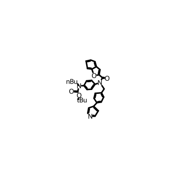 CCCCN(C(=O)OC(C)(C)C)c1ccc(N(Cc2ccc(-c3ccncc3)cc2)C(=O)c2cc3ccccc3o2)cc1